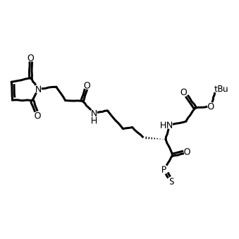 CC(C)(C)OC(=O)CN[C@@H](CCCCNC(=O)CCN1C(=O)C=CC1=O)C(=O)P=S